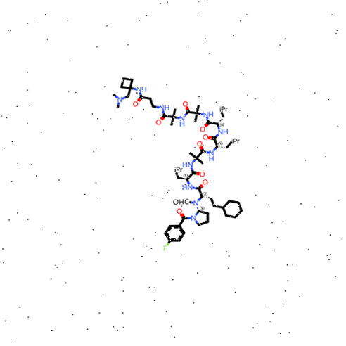 CC(C)C[C@H](NC(=O)[C@H](CC(C)C)NC(=O)C(C)(C)NC(=O)[C@H](CC(C)C)NC(=O)[C@H](CCC1CCCCC1)N(C=O)[C@@H]1CCCN1C(=O)c1ccc(F)cc1)C(=O)NC(C)(C)C(=O)NC(C)(C)C(=O)NCCC(=O)NC1(CN(C)C)CCC1